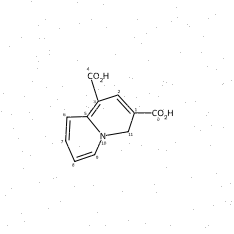 O=C(O)C1=CC(C(=O)O)=C2C=CC=CN2C1